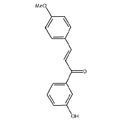 COc1ccc(C=CC(=O)c2cccc(O)c2)cc1